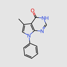 Cc1cn(-c2ccccc2)c2nc[nH]c(=O)c12